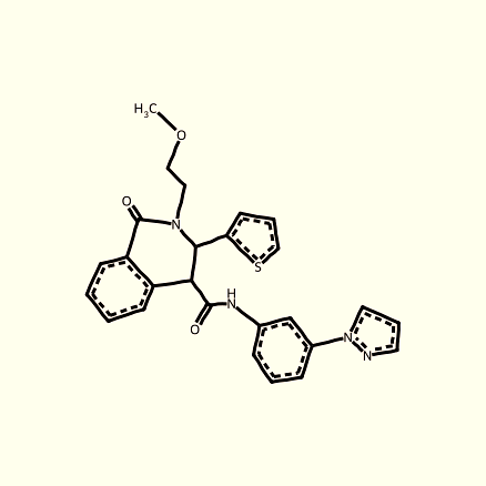 COCCN1C(=O)c2ccccc2C(C(=O)Nc2cccc(-n3cccn3)c2)C1c1cccs1